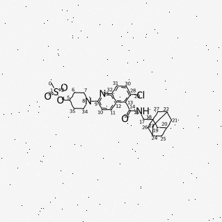 CS(=O)(=O)OC1CCN(c2ccc3c(C(=O)NCC45CC6CC(CC(C6)C4)C5)c(Cl)ccc3n2)CC1